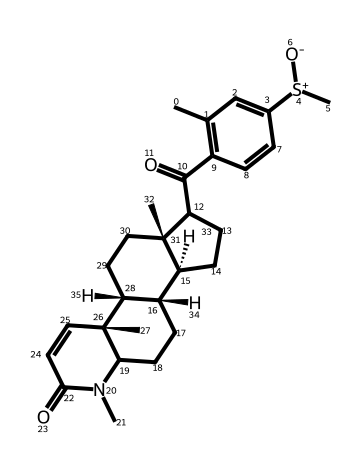 Cc1cc([S+](C)[O-])ccc1C(=O)C1CC[C@H]2[C@@H]3CCC4N(C)C(=O)C=C[C@]4(C)[C@@H]3CC[C@]12C